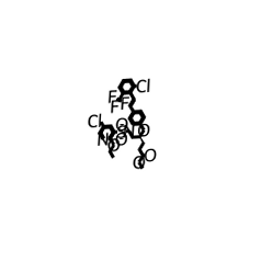 CCOc1ncc(Cl)cc1S(=O)(=O)N1C[C@H](CCC(=O)OC)Oc2ccc(/C=C/c3c(Cl)cccc3C(F)(F)F)cc21